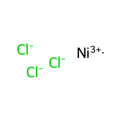 [Cl-].[Cl-].[Cl-].[Ni+3]